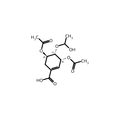 CC(=O)O[C@@H]1C=C(C(=O)O)C[C@@H](OC(C)=O)[C@@H]1OC(C)O